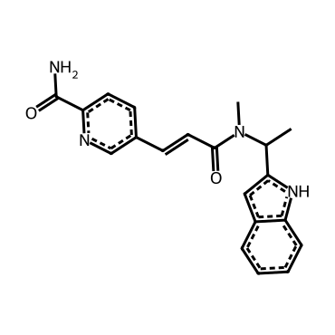 CC(c1cc2ccccc2[nH]1)N(C)C(=O)C=Cc1ccc(C(N)=O)nc1